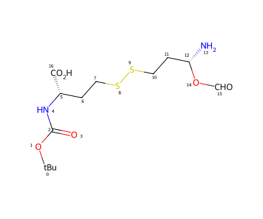 CC(C)(C)OC(=O)N[C@@H](CCSSCC[C@H](N)OC=O)C(=O)O